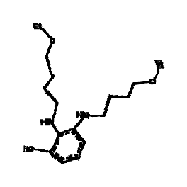 CCOCCCCNc1cccc(O)c1NCCCCOCC